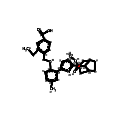 CCc1cc(C(=O)O)ccc1COc1ccc(C)cc1-c1csc(N2CC3CCC(C2)C3C(=O)OC)n1